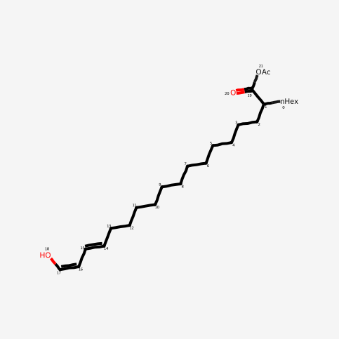 CCCCCCC(CCCCCCCCCCCC/C=C/C=C\O)C(=O)OC(C)=O